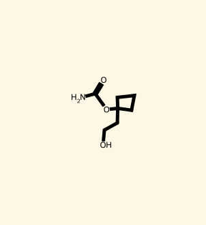 NC(=O)OC1(CCO)CCC1